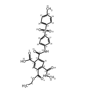 CCOC(=O)c1cc(C(=O)O)c(C(=O)Nc2ccc(S(=O)(=O)c3ccc(C)cc3)cc2)cc1C(=O)NC